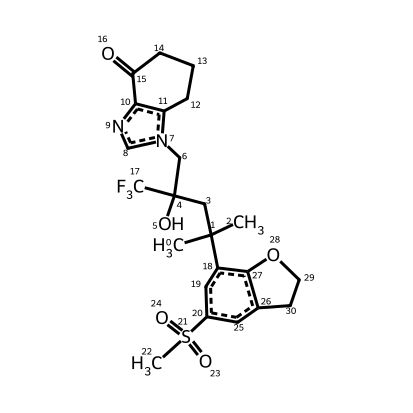 CC(C)(CC(O)(Cn1cnc2c1CCCC2=O)C(F)(F)F)c1cc(S(C)(=O)=O)cc2c1OCC2